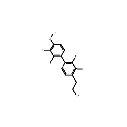 CCOc1ccc(-c2ccc(CCBr)c(F)c2F)c(F)c1F